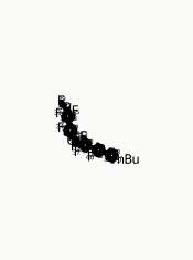 CCCCc1ccc(-c2ccc(-c3cc(F)c(C(F)(F)Oc4ccc(-c5cc(F)c(OCF)c(F)c5)c(F)c4)c(F)c3)c(F)c2)cc1